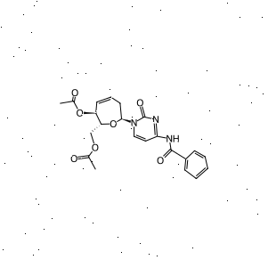 CC(=O)OC[C@H]1O[C@H](n2ccc(NC(=O)c3ccccc3)nc2=O)CC=C[C@@H]1OC(C)=O